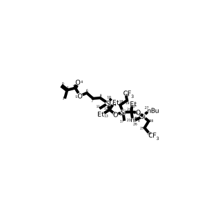 C=C(C)C(=O)OCCC[Si](C)(C)C(CC)(CC)O[Si](C)(CCC(F)(F)F)C(CC)(CCC)O[Si](C)(CCCC)CCC(F)(F)F